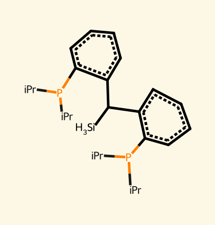 CC(C)P(c1ccccc1C([SiH3])c1ccccc1P(C(C)C)C(C)C)C(C)C